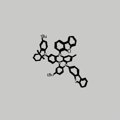 Cc1cc2c3c(c1)N(c1cccc4c1oc1ccccc14)c1cc(N4c5ccc(C(C)(C)C)cc5C5(C)CCCCC45C)ccc1B3c1cc(C(C)(C)C)ccc1N2c1ccc2c(c1)sc1ccccc12